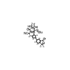 CC(C)(C)OC(=O)N1[C@@H]2CC[C@@H](C2)[C@H]1C(=O)N[C@H](C#N)Cc1ccc(-c2ccc3c(c2)C(=O)OC3(C)C)s1